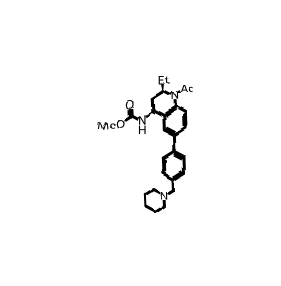 CC[C@@H]1C[C@H](NC(=O)OC)c2cc(-c3ccc(CN4CCCCC4)cc3)ccc2N1C(C)=O